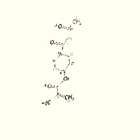 C=C(C)C(=O)ON1CCN(C(=O)CC(C)=O)CC1